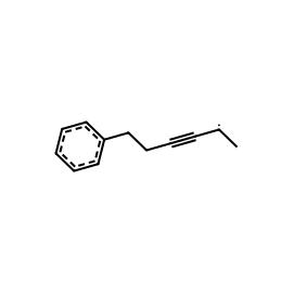 C[CH]C#CCCc1ccccc1